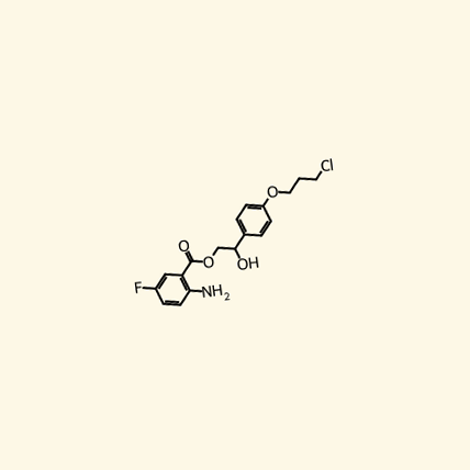 Nc1ccc(F)cc1C(=O)OCC(O)c1ccc(OCCCCl)cc1